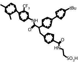 Cc1ccc(-c2ccc(NC(=O)C(Cc3ccc(C(=O)NCCS(=O)(=O)O)cc3)c3ccc(-c4ccc(C(C)(C)C)cc4)cc3)cc2C(F)(F)F)c(C)c1